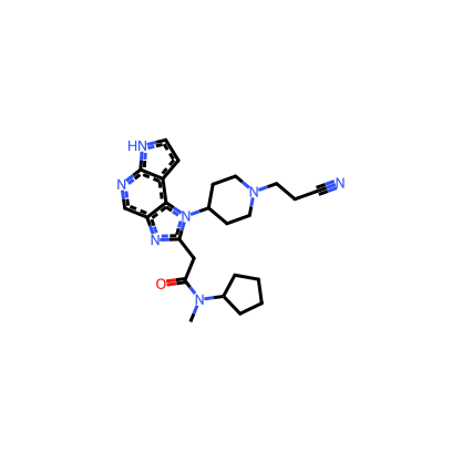 CN(C(=O)Cc1nc2cnc3[nH]ccc3c2n1C1CCN(CCC#N)CC1)C1CCCC1